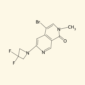 Cn1cc(Br)c2cc(N3CC(F)(F)C3)ncc2c1=O